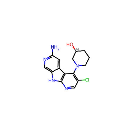 Nc1cc2c(cn1)[nH]c1ncc(Cl)c(N3CCC[C@H](O)C3)c12